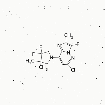 Cc1nc2c(N3CC(C)(C)C(F)(F)C3)cc(Cl)nn2c1F